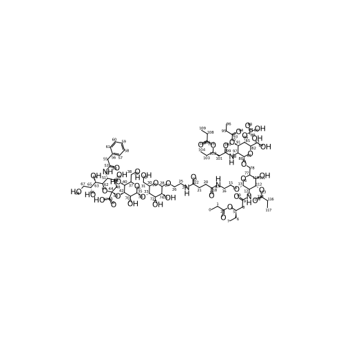 CCC(=O)O[C@H](CC)CC(=O)NC1[C@H](OCCNC(=O)CCC(=O)NCCOC2OC(CO)[C@@H](O[C@@H]3OC(CO)[C@H](O)[C@H](O[C@]4(C(=O)O)C[C@@H](O)[C@@H](NC(=O)Cc5ccccc5)C([C@H](O)[C@H](O)CO)O4)C3O)[C@H](O)[C@@H]2O)OC(CO[C@@H]2OC(CO)[C@@H](OP(=O)(O)O)[C@H](OC(=O)CC)C2NC(=O)C[C@@H](CC)OC(=O)CC)[C@@H](O)[C@@H]1OC(=O)CC